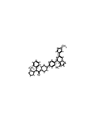 CN1CCCC1C(C(=O)N1CCN(c2ccc(-c3nc(-c4cnn(C)c4)cn4ncc(C#N)c34)cn2)CC1)c1ccccc1